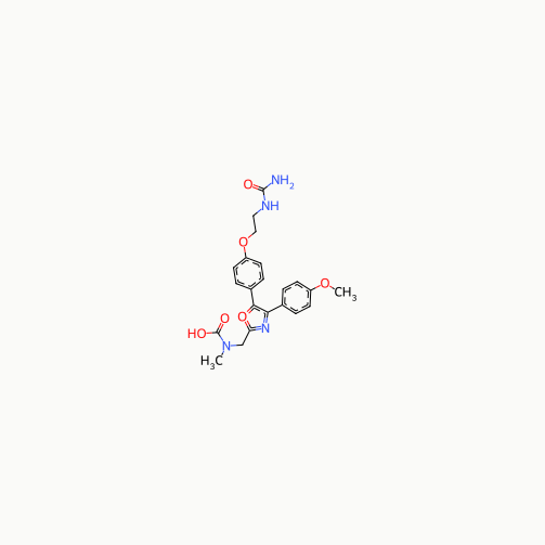 COc1ccc(-c2nc(CN(C)C(=O)O)oc2-c2ccc(OCCNC(N)=O)cc2)cc1